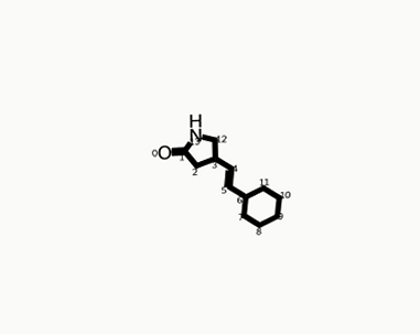 O=C1CC(C=CC2CCCCC2)CN1